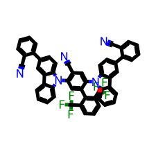 N#Cc1ccccc1-c1ccc2c(c1)c1ccccc1n2-c1cc(-c2c(C(F)(F)F)cccc2C(F)(F)F)c(-n2c3ccccc3c3cc(-c4ccccc4C#N)ccc32)cc1C#N